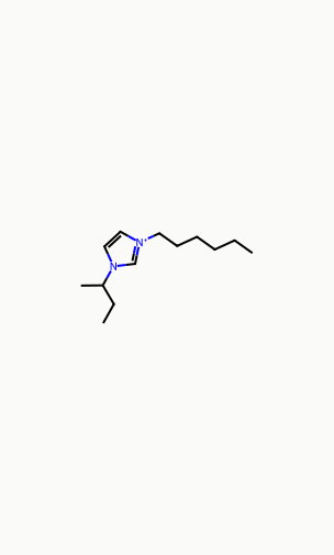 CCCCCC[n+]1ccn(C(C)CC)c1